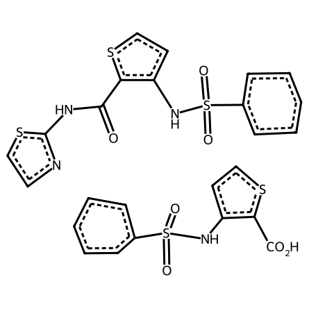 O=C(Nc1nccs1)c1sccc1NS(=O)(=O)c1ccccc1.O=C(O)c1sccc1NS(=O)(=O)c1ccccc1